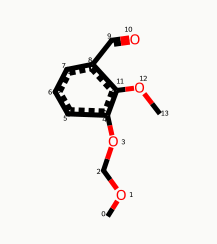 COCOc1cccc(C=O)c1OC